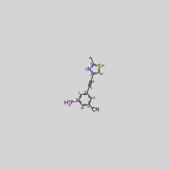 Cc1nc(C#Cc2cc(P)cc(C#N)c2)cs1